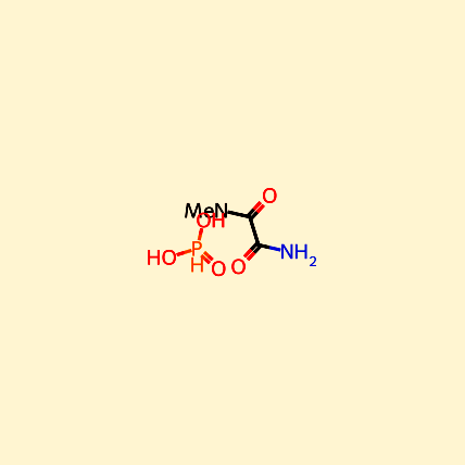 CNC(=O)C(N)=O.O=[PH](O)O